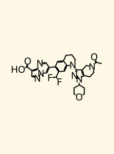 CC(=O)N1CCc2c(c(N3CCCc4cc(-c5cnc6c(C(=O)O)cnn6c5)c(C(F)F)cc43)nn2C2CCOCC2)C1